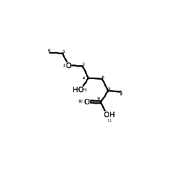 CCOCC(O)CC(C)C(=O)O